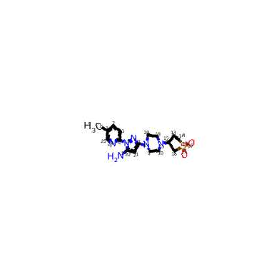 Cc1ccc(-n2nc(N3CCN(C4CCS(=O)(=O)C4)CC3)cc2N)nc1